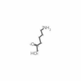 NCCC[CH]C(=O)CO